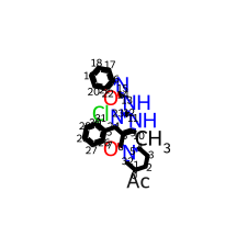 CC(=O)C1CCCN(C(=O)C2=C(C)NC(Nc3nc4ccccc4o3)=NC2c2ccccc2Cl)C1